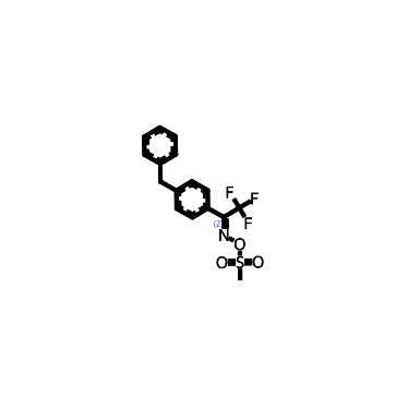 CS(=O)(=O)O/N=C(/c1ccc(Cc2ccccc2)cc1)C(F)(F)F